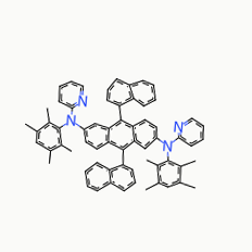 Cc1cc(C)c(C)c(N(c2ccc3c(-c4cccc5ccccc45)c4cc(N(c5ccccn5)c5c(C)c(C)cc(C)c5C)ccc4c(-c4cccc5ccccc45)c3c2)c2ccccn2)c1C